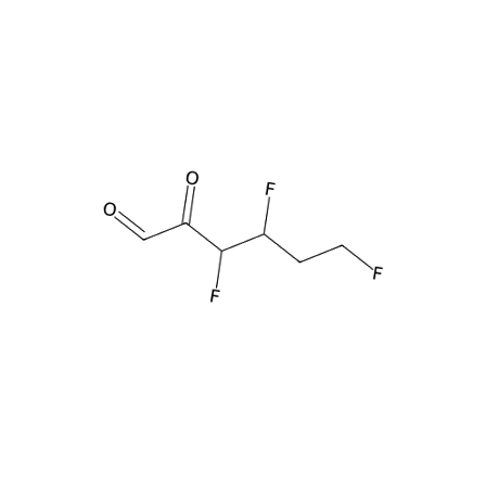 O=CC(=O)C(F)C(F)CCF